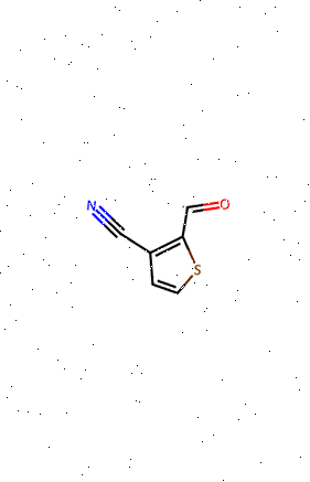 N#Cc1ccsc1[C]=O